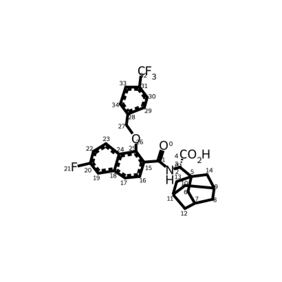 O=C(N[C@H](C(=O)O)C12CC3CC(CC(C3)C1)C2)c1ccc2cc(F)ccc2c1OCc1ccc(C(F)(F)F)cc1